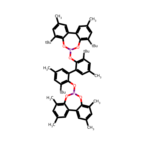 Cc1cc(-c2cc(C)cc(C(C)(C)C)c2Op2oc3c(C(C)(C)C)cc(C)cc3c3cc(C)cc(C(C)(C)C)c3o2)c(Op2oc3c(C)cc(C)cc3c3cc(C)cc(C)c3o2)c(C(C)(C)C)c1